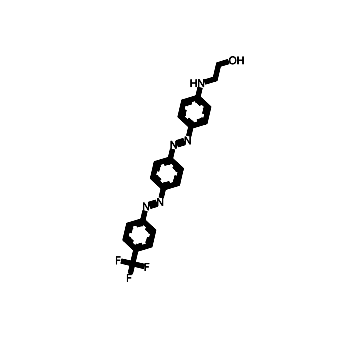 OCCNc1ccc(/N=N/c2ccc(/N=N/c3ccc(C(F)(F)F)cc3)cc2)cc1